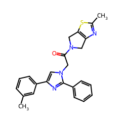 Cc1cccc(-c2cn(CC(=O)N3Cc4nc(C)sc4C3)c(-c3ccccc3)n2)c1